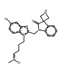 C/[N+]([O-])=C/CCCn1c(CN2C(=O)C3(CNC3)c3ccccc32)nc2cc(Cl)ccc21